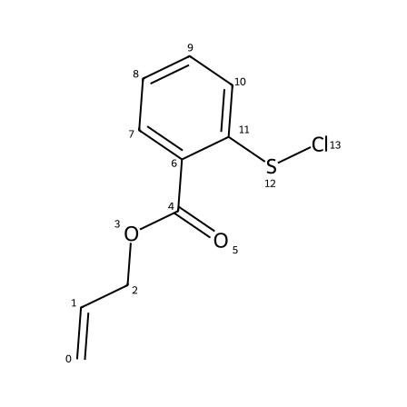 C=CCOC(=O)c1ccccc1SCl